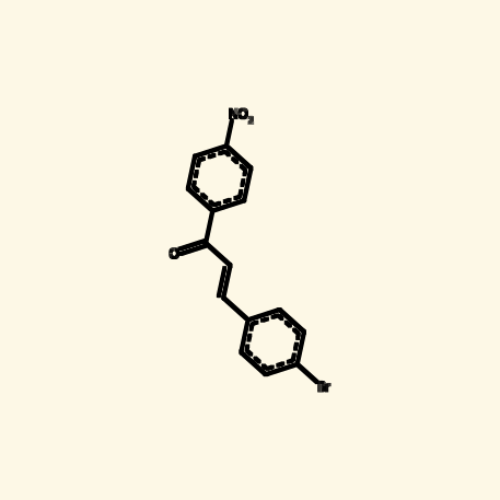 O=C(/C=C/c1ccc(Br)cc1)c1ccc([N+](=O)[O-])cc1